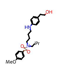 COc1ccc(S(=O)(=O)N(CCCCNc2ccc(CCO)cc2)CC(C)C)cc1